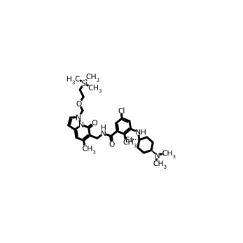 CC[C@]1(Nc2cc(Cl)cc(C(=O)NCc3c(C)cc4ccn(COCC[Si](C)(C)C)n4c3=O)c2C)CC[C@@H](N(C)C)CC1